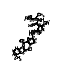 Cc1ncnc2c1CC(Cl)N2C(=O)c1cccc(Nc2snc(O)c2C(=N)NC(C)CO)n1